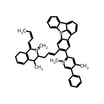 C=[N+]1/C(=C\C=C/C)C2=C(C=CCC2)C(C)C1C/C=C/c1cc2c(cc1-c1cc(C)c(-c3ccccc3)c[n+]1C)c1cccc3c4ccccc4n2c31